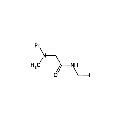 CC(C)N(C)CC(=O)NCI